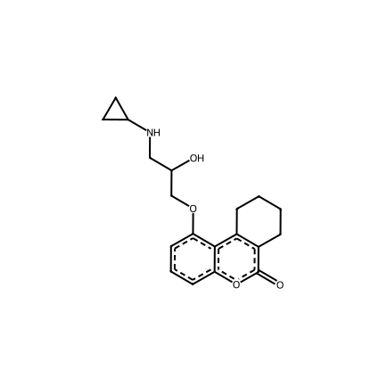 O=c1oc2cccc(OCC(O)CNC3CC3)c2c2c1CCCC2